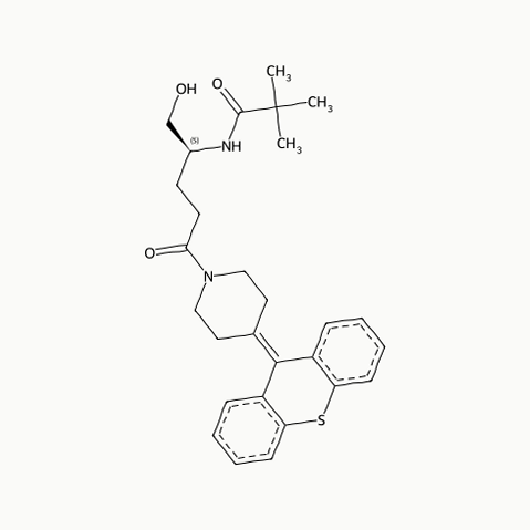 CC(C)(C)C(=O)N[C@H](CO)CCC(=O)N1CCC(=C2c3ccccc3Sc3ccccc32)CC1